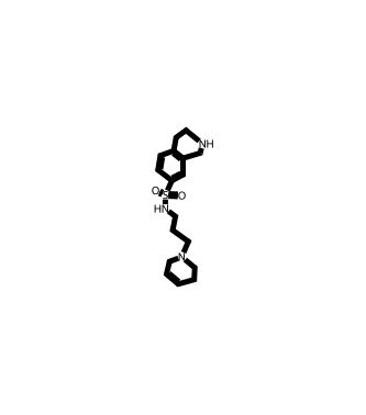 O=S(=O)(NCCCN1CC=CCC1)c1ccc2c(c1)CNCC2